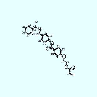 C=CC(=O)OCCOc1ccc(C(=O)Oc2ccc(C=N[C@@H](C)c3ccccc3)cc2)cc1